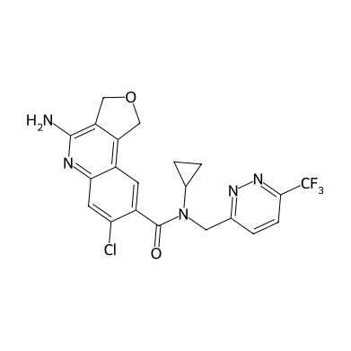 Nc1nc2cc(Cl)c(C(=O)N(Cc3ccc(C(F)(F)F)nn3)C3CC3)cc2c2c1COC2